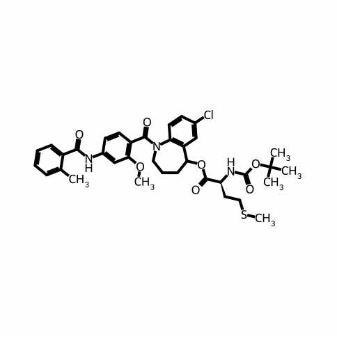 COc1cc(NC(=O)c2ccccc2C)ccc1C(=O)N1CCCC(OC(=O)[C@H](CCSC)NC(=O)OC(C)(C)C)c2cc(Cl)ccc21